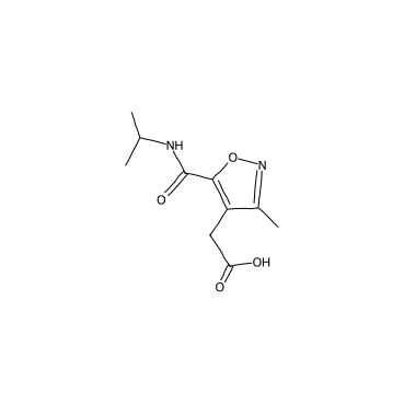 Cc1noc(C(=O)NC(C)C)c1CC(=O)O